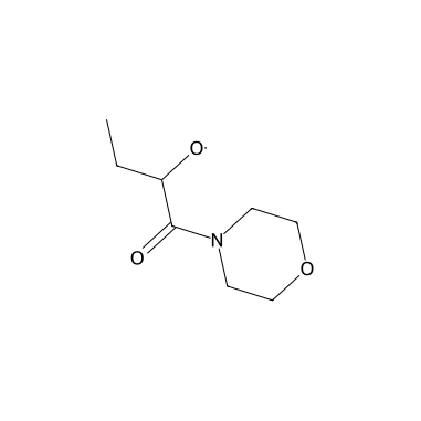 CCC([O])C(=O)N1CCOCC1